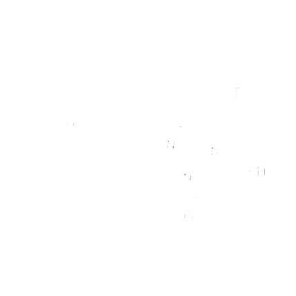 Cc1cc(=O)n2cc(-c3ccc(OCC4CC4)cc3)nc2n1Cc1c(F)cccc1F